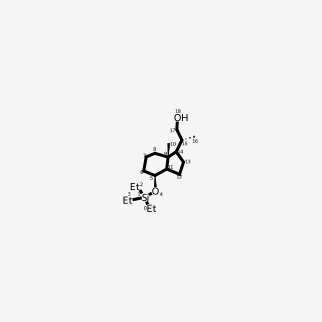 CC[Si](CC)(CC)O[C@H]1CCC[C@@]2(C)C1CCC2[C@@H](C)CO